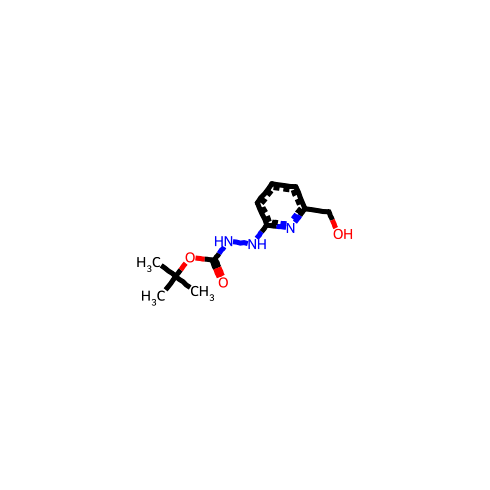 CC(C)(C)OC(=O)NNc1cccc(CO)n1